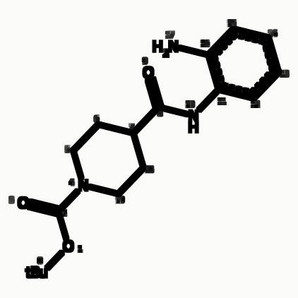 CC(C)(C)OC(=O)N1CCC(C(=O)Nc2ccccc2N)CC1